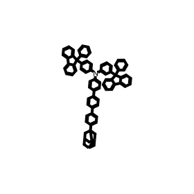 c1ccc(C2(c3ccc(N(c4ccc(-c5ccc(-c6ccc(C78CC9CC(CC(C9)C7)C8)cc6)cc5)cc4)c4cccc(C5(c6ccccc6)c6ccccc6-c6ccccc65)c4)cc3)c3ccccc3-c3ccccc32)cc1